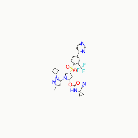 Cc1cc(N2C[C@H](S(=O)(=O)c3ccc(-c4ccncn4)cc3C(F)(F)F)C[C@@H]2OC(=O)NC2(C#N)CC2)n(C2CCC2)n1